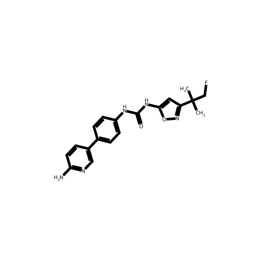 CC(C)(CF)c1cc(NC(=O)Nc2ccc(-c3ccc(N)nc3)cc2)on1